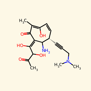 CC(=O)C(O)/C(O)=C1/C(=O)/C(C)=C(O)/C=C\[C@H](C#CCN(C)C)C1N